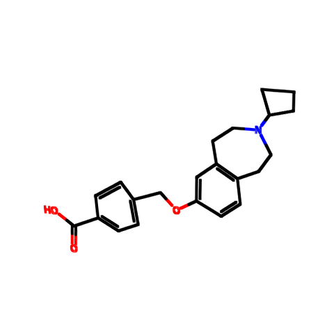 O=C(O)c1ccc(COc2ccc3c(c2)CCN(C2CCC2)CC3)cc1